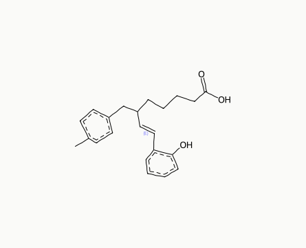 Cc1ccc(CC(/C=C/c2ccccc2O)CCCCC(=O)O)cc1